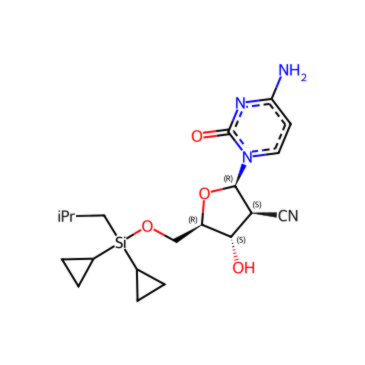 CC(C)C[Si](OC[C@H]1O[C@@H](n2ccc(N)nc2=O)[C@@H](C#N)[C@@H]1O)(C1CC1)C1CC1